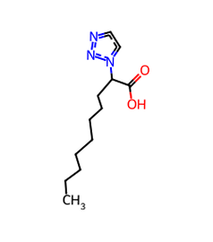 CCCCCCCCC(C(=O)O)n1ccnn1